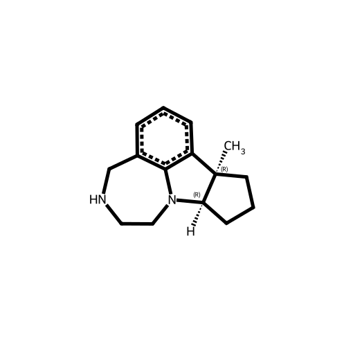 C[C@]12CCC[C@H]1N1CCNCc3cccc2c31